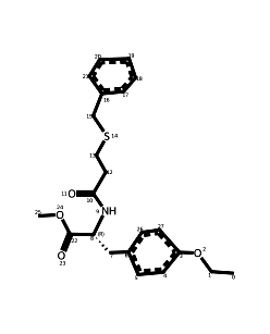 CCOc1ccc(C[C@@H](NC(=O)CCSCc2ccccc2)C(=O)OC)cc1